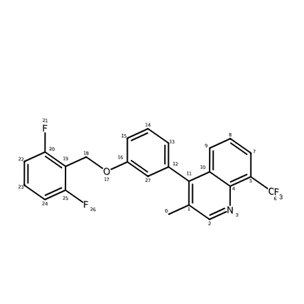 Cc1cnc2c(C(F)(F)F)cccc2c1-c1cccc(OCc2c(F)cccc2F)c1